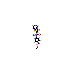 CCOC(=O)c1ccc(NC(=O)c2cc3cnccc3o2)cc1